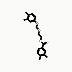 Cc1ccc(OCOCCOC(=O)c2ccc(C)c(C)c2)cc1C